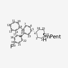 CCCCC[Si@H]1CC[C@H](c2ccc(-c3ccccc3)c(-c3ccc(F)cc3)c2)CC1